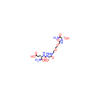 NC(=O)[C@H](CO)NC(=O)COCCOCCNC(=O)[C@H](CO)NC(=O)N[C@H](CCC(=O)O)C(N)=O